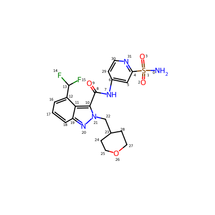 NS(=O)(=O)c1cc(NC(=O)c2c3c(C(F)F)cccc3nn2CC2CCOCC2)ccn1